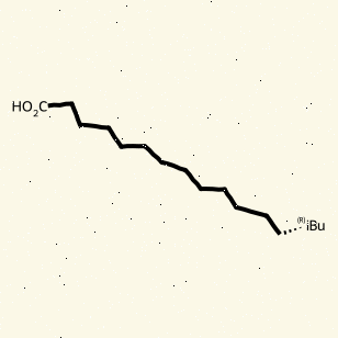 CC[C@@H](C)CCCCCCCCCCCCC(=O)O